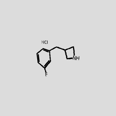 Cl.Fc1cccc(CC2CNC2)c1